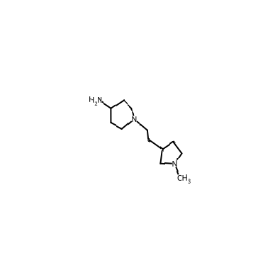 CN1CCC(CCN2CCC(N)CC2)C1